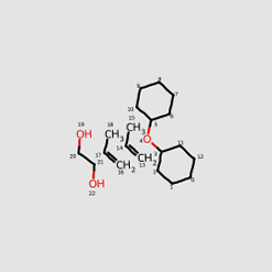 C1CCC(OC2CCCCC2)CC1.C=CC.C=CC.OCCO